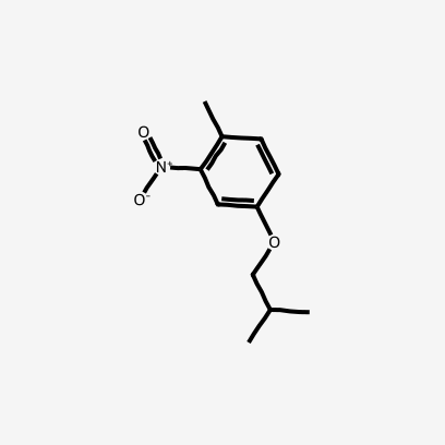 Cc1ccc(OCC(C)C)cc1[N+](=O)[O-]